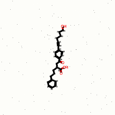 O=C(CC(CCCc1ccccc1)C(=O)O)c1ccc(C#CCCCCO)cc1